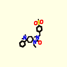 CCN1C(=O)N(Cc2ccc(S(C)(=O)=O)cc2)C[C@]12CC[C@](c1ccccc1)(N(C)C)CC2